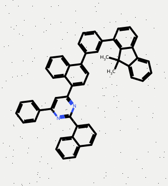 CC1(C)c2ccccc2-c2cccc(-c3cccc(-c4ccc(-c5cc(-c6ccccc6)nc(-c6cccc7ccccc67)n5)c5ccccc45)c3)c21